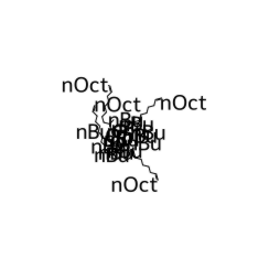 CCCCCCCC/C=C\CCCCCCC(CCCC)C(CCCC)(CCCC)[O][Ti]([O]C(CCCC)(CCCC)C(CCCC)CCCCCC/C=C\CCCCCCCC)([O]C(CCCC)(CCCC)C(CCCC)CCCCCC/C=C\CCCCCCCC)[O]C(CCCC)(CCCC)C(CCCC)CCCCCC/C=C\CCCCCCCC